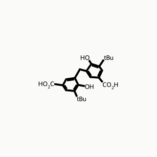 CC(C)(C)c1cc(C(=O)O)cc(Cc2cc(C(=O)O)cc(C(C)(C)C)c2O)c1O